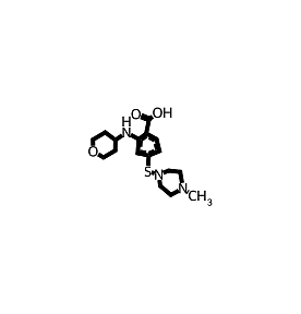 CN1CCN(Sc2ccc(C(=O)O)c(NC3CCOCC3)c2)CC1